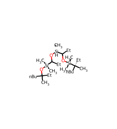 CCCCC(C)(CC)O[Si](C)(C)C(CC)O[SiH](C)C(CC)O[Si](C)(C)[C@](C)(CC)CCCC